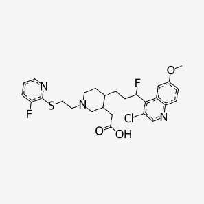 COc1ccc2ncc(Cl)c(C(F)CCC3CCN(CCSc4ncccc4F)CC3CC(=O)O)c2c1